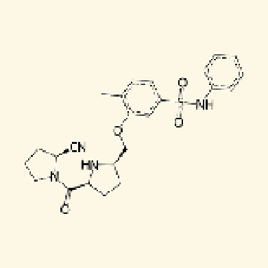 Cc1ccc(S(=O)(=O)Nc2ccccc2)cc1OC[C@H]1CC[C@@H](C(=O)N2CCC[C@H]2C#N)N1